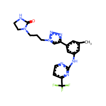 Cc1cc(Nc2nccc(C(F)(F)F)n2)cc(-c2cn(CCCN3CCNC3=O)nn2)c1